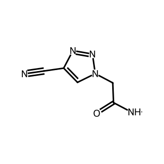 N#Cc1cn(CC([NH])=O)nn1